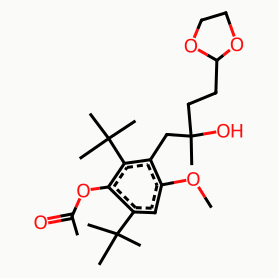 COc1cc(C(C)(C)C)c(OC(C)=O)c(C(C)(C)C)c1CC(C)(O)CCC1OCCO1